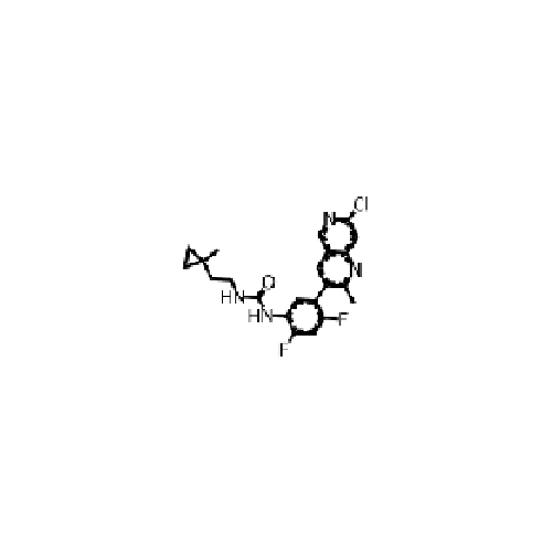 Cc1nc2cc(Cl)ncc2cc1-c1cc(NC(=O)NCCC2(C)CC2)c(F)cc1F